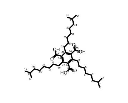 CC(C)CCCCCCc1c(C(=O)O)c(CCCCCCC(C)C)c(C(=O)O)c(CCCCCCC(C)C)c1C(=O)O